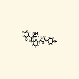 NC(=O)C(=Cc1cccc(-c2cnn(C3CCNCC3)c2)c1)c1ccccc1N